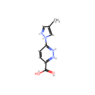 Cc1cnn(-c2ccc(C(=O)O)nn2)c1